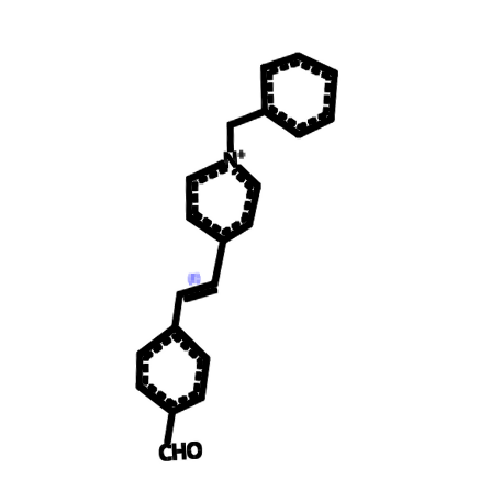 O=Cc1ccc(/C=C/c2cc[n+](Cc3ccccc3)cc2)cc1